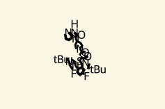 CC(C)(C)CCN1C(=O)[C@H](CC(=O)N2CCC(n3c(=O)[nH]c4ncccc43)CC2)SC1c1cc(F)cc(F)c1N1CCN(C(C)(C)C)CC1